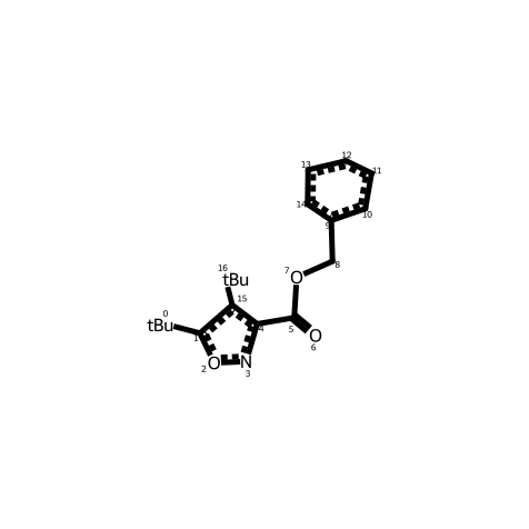 CC(C)(C)c1onc(C(=O)OCc2ccccc2)c1C(C)(C)C